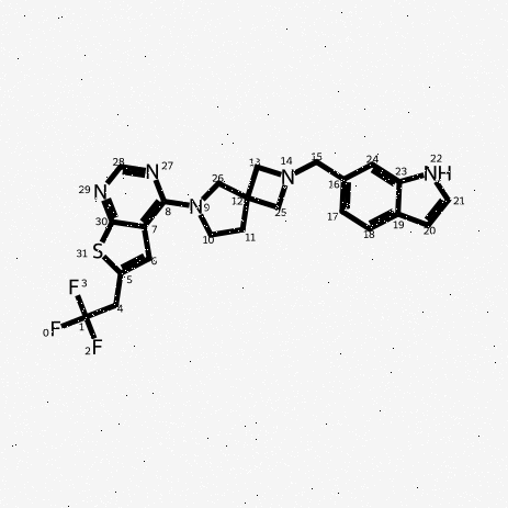 FC(F)(F)Cc1cc2c(N3CCC4(CN(Cc5ccc6cc[nH]c6c5)C4)C3)ncnc2s1